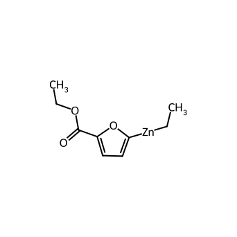 CCOC(=O)c1cc[c]([Zn][CH2]C)o1